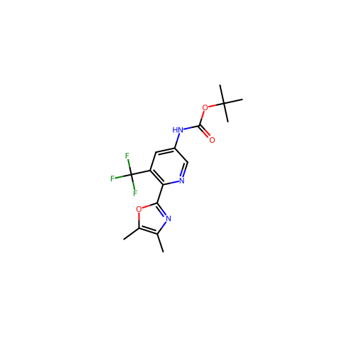 Cc1nc(-c2ncc(NC(=O)OC(C)(C)C)cc2C(F)(F)F)oc1C